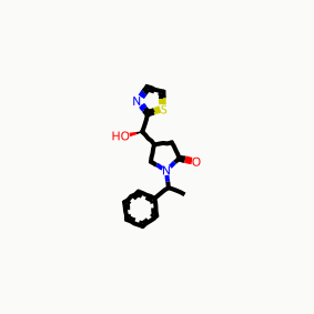 CC(c1ccccc1)N1CC([C@@H](O)c2nccs2)CC1=O